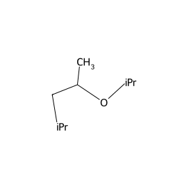 CC(C)CC(C)OC(C)C